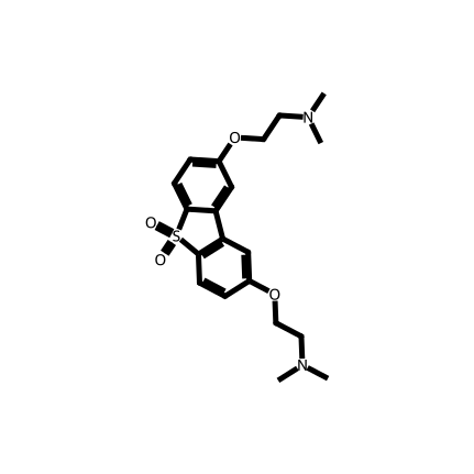 CN(C)CCOc1ccc2c(c1)-c1cc(OCCN(C)C)ccc1S2(=O)=O